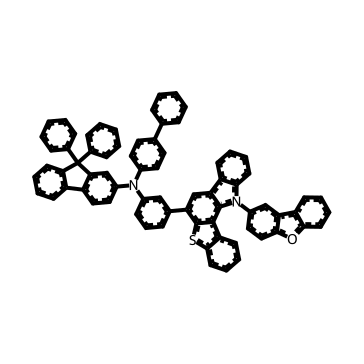 c1ccc(-c2ccc(N(c3cccc(-c4cc5c6ccccc6n(-c6ccc7oc8ccccc8c7c6)c5c5c4sc4ccccc45)c3)c3ccc4c(c3)C(c3ccccc3)(c3ccccc3)c3ccccc3-4)cc2)cc1